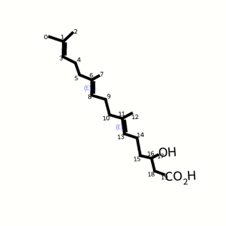 CC(C)=CCC/C(C)=C/CC/C(C)=C/CCC(O)CC(=O)O